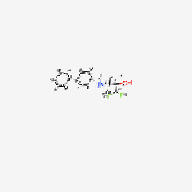 CC(=O)C(C)(NCc1ccc(-c2ccccc2)cc1)C(C)(O)C(F)F